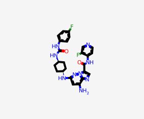 Nc1cc(N[C@H]2CC[C@H](NC(=O)Nc3ccc(F)cc3)CC2)nn2c(C(=O)Nc3ccncc3F)cnc12